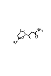 CC(CC(N)=O)SSC(C)CC(N)=O